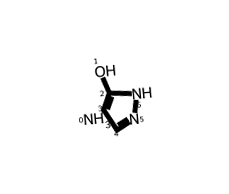 N.Oc1ccn[nH]1